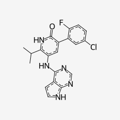 CC(C)c1[nH]c(=O)c(-c2cc(Cl)ccc2F)cc1Nc1ncnc2[nH]ccc12